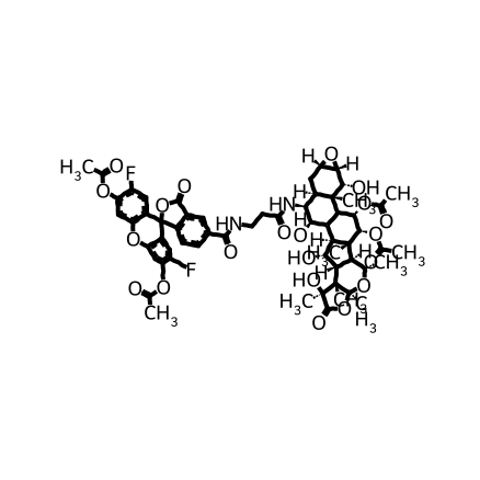 CC(=O)Oc1cc2c(cc1F)C1(OC(=O)c3cc(C(=O)NCCC(=O)N[C@@H]4[C@H](O)C5C([C@H](OC(C)=O)[C@H](OC(C)=O)[C@]6(C)[C@@H]7[C@@H]([C@H](O)[C@@H]56)[C@]5(C)[C@](C)(OC(=O)[C@@]5(C)O)O[C@H]7C)[C@]5(C)[C@@H]4C[C@@H]4O[C@@H]4[C@@H]5O)ccc31)c1cc(F)c(OC(C)=O)cc1O2